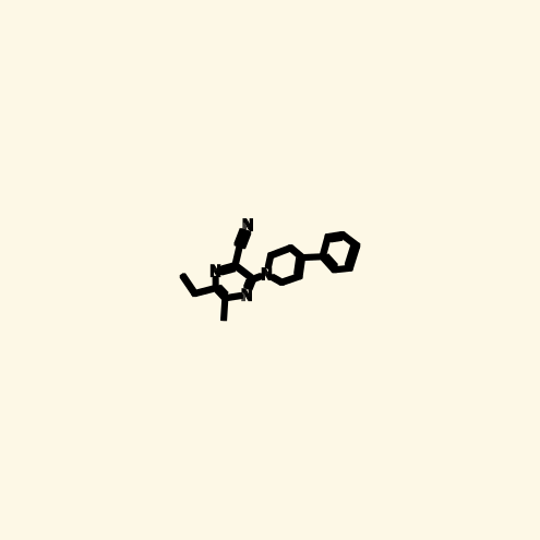 CCc1nc(C#N)c(N2CC=C(c3ccccc3)CC2)nc1C